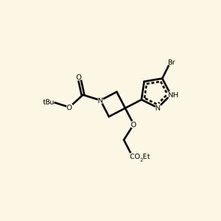 CCOC(=O)COC1(c2cc(Br)[nH]n2)CN(C(=O)OC(C)(C)C)C1